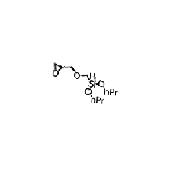 CCCO[SiH](COCC1CO1)OCCC